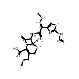 COCC1=C(C(=O)O)N2C(=O)C(NC(=O)C(=NOC)c3csc(NC=O)n3)[C@@H]2SC1